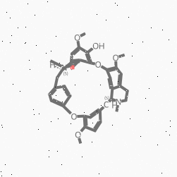 COc1ccc2cc1Oc1ccc(cc1)C[C@H]1c3cc(OC)c(O)c(c3CCN1C)Oc1cc3c(cc1OC)CCN(C)[C@H]3C2